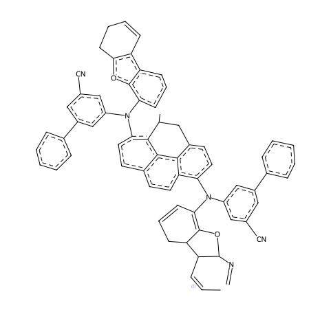 C=NC1OC2=C(N(c3cc(C#N)cc(-c4ccccc4)c3)c3ccc4c5c3ccc3ccc(N(c6cc(C#N)cc(-c7ccccc7)c6)c6cccc7c8c(oc67)CCC=C8)c(c35)C(C)C4)C=CCC2C1/C=C\C